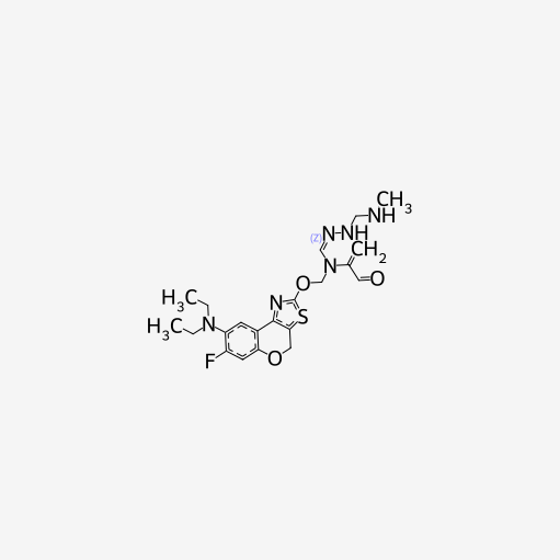 C=C(C=O)N(/C=N\NCNC)COc1nc2c(s1)COc1cc(F)c(N(CC)CC)cc1-2